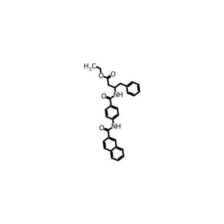 CCOC(=O)CC(Cc1ccccc1)NC(=O)c1ccc(NC(=O)c2ccc3ccccc3c2)cc1